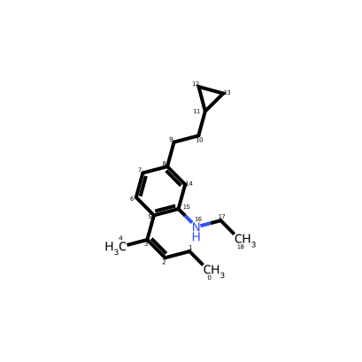 CC/C=C(/C)c1ccc(CCC2CC2)cc1NCC